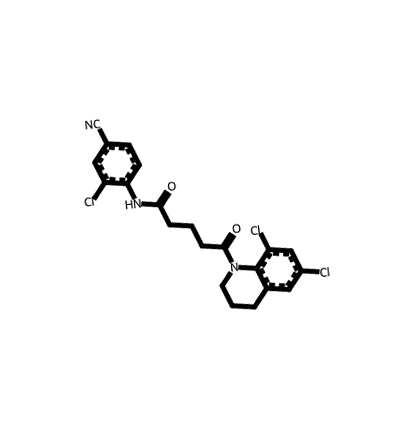 N#Cc1ccc(NC(=O)CCCC(=O)N2CCCc3cc(Cl)cc(Cl)c32)c(Cl)c1